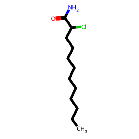 CCCCCCCCCCC(Cl)C(N)=O